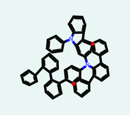 c1ccc(-c2ccccc2-c2ccccc2-c2ccc(N(c3ccc4c5ccccc5n(-c5ccccc5)c4c3)c3c(-c4ccccc4)cccc3-c3ccccc3)cc2)cc1